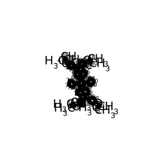 CC(C)(C)Oc1ccc(N(c2ccc(OC(C)(C)C)cc2)c2ccc3c4c(-c5ccccc5)c5c6cccc7c(N(c8ccc(OC(C)(C)C)cc8)c8ccc(OC(C)(C)C)cc8)ccc(c5c(-c5ccccc5)c4c4cccc2c43)c76)cc1